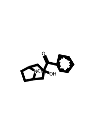 CN1C2CCC1CC(O)(C(=O)c1ccccc1)C2